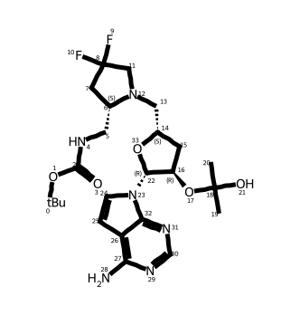 CC(C)(C)OC(=O)NC[C@@H]1CC(F)(F)CN1C[C@@H]1C[C@@H](OC(C)(C)O)[C@H](n2ccc3c(N)ncnc32)O1